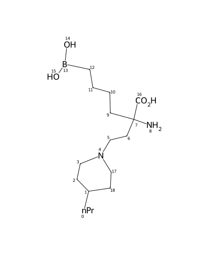 CCCC1CCN(CCC(N)(CCCCB(O)O)C(=O)O)CC1